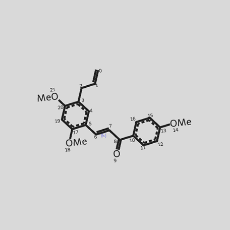 C=CCc1cc(/C=C/C(=O)c2ccc(OC)cc2)c(OC)cc1OC